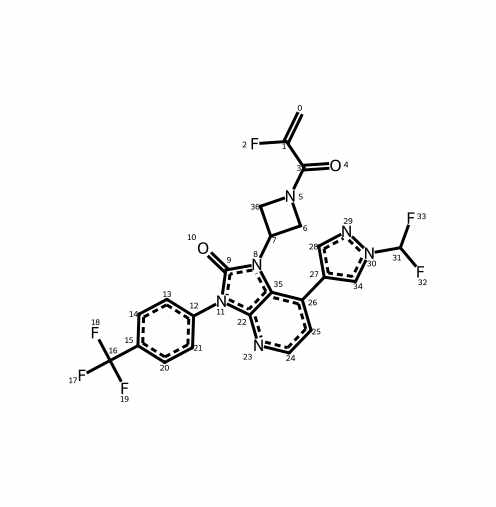 C=C(F)C(=O)N1CC(n2c(=O)n(-c3ccc(C(F)(F)F)cc3)c3nccc(-c4cnn(C(F)F)c4)c32)C1